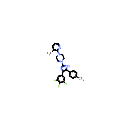 Fc1cc(-c2nc(N3CCN(c4ncccc4C(F)(F)F)CC3)[nH]c2-c2ccc(C(F)(F)F)cc2)cc(F)c1F